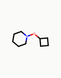 C1CCN(O[C]2CCC2)CC1